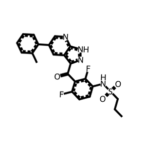 CCCS(=O)(=O)Nc1ccc(F)c(C(=O)c2n[nH]c3ncc(-c4ccccc4C)cc23)c1F